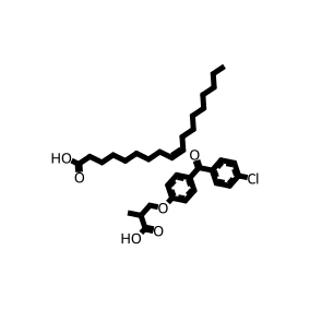 CC(COc1ccc(C(=O)c2ccc(Cl)cc2)cc1)C(=O)O.CCCCCCCC/C=C\CCCCCCCC(=O)O